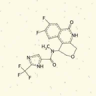 CN(C(=O)c1cnc(C(F)(F)F)[nH]1)C1COCc2[nH]c(=O)c3cc(F)c(F)cc3c21